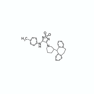 Cc1ccc(NC2=NS(=O)(=O)N=C2N2CCCC(C3c4ccccc4CCc4ccccc43)C2)cc1